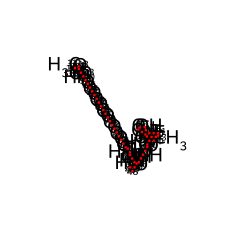 CC[C@@]1(O)C(=O)OCc2c1cc1n(c2=O)Cc2c-1nc1cc(F)c(C)c3c1c2[C@@H](NC(=O)[C@H](O)CCOCNC(=O)CNC(=O)[C@H](Cc1ccccc1)NC(=O)CNC(=O)CNC(=O)CCOCCOCCOCCOCCOCCOCCOCCOCCOCCOCCOCCOCCNC(=O)CCN1C(=O)CC(C)C1=O)CC3